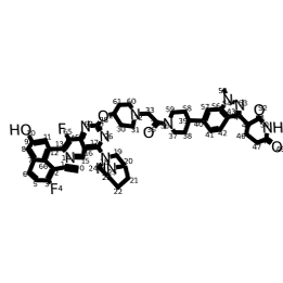 C#Cc1c(F)ccc2cc(O)cc(-c3ncc4c(N5CC6CCC(C5)N6)nc(OC5CCN(CC(=O)N6CCC(c7ccc8c(C9CCC(=O)NC9=O)nn(C)c8c7)CC6)CC5)nc4c3F)c12